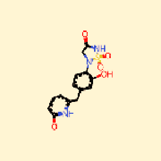 O=C1CN(c2ccc(Cc3cccc(=O)[nH]3)cc2O)S(=O)(=O)N1